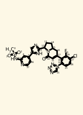 CS(=O)(=O)Nc1cc(-c2cnc(C3CCC4CC(c5c(-n6cnnn6)ccc(Cl)c5F)=CC(=O)N43)[nH]2)ccn1